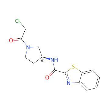 O=C(N[C@H]1CCN(C(=O)CCl)C1)c1nc2ccccc2s1